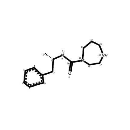 [CH2][C@@H](Cc1ccccc1)NC(=O)N1CCCNCC1